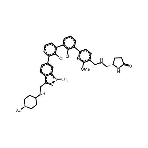 COc1nc(-c2cccc(-c3ccnc(-c4ccc5c(CNC6CCN(C(C)=O)CC6)nn(C)c5c4)c3Cl)c2Cl)ccc1CNC[C@@H]1CCC(=O)N1